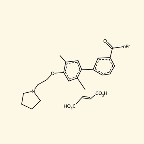 CCCC(=O)c1cccc(-c2cc(C)c(OCCN3CCCC3)cc2C)c1.O=C(O)/C=C/C(=O)O